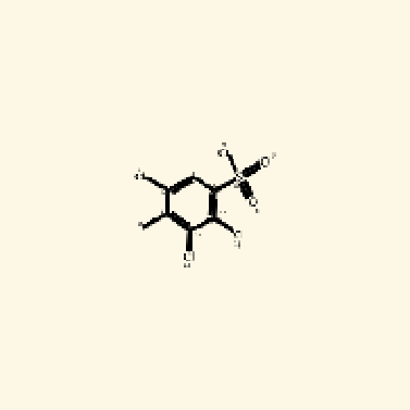 Cc1c(Cl)cc(S(=O)(=O)Cl)c(Cl)c1Cl